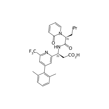 Cc1cccc(C)c1-c1cc([C@H](CC(=O)O)NC(=O)[C@H](CC(C)C)n2ccccc2=O)nc(C(F)(F)F)c1